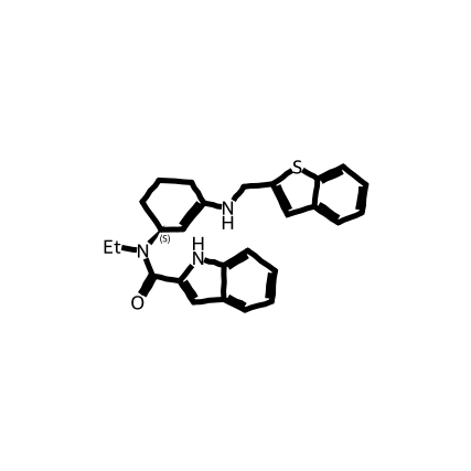 CCN(C(=O)c1cc2ccccc2[nH]1)[C@@H]1C=C(NCc2cc3ccccc3s2)CCC1